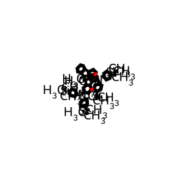 CC1(C2(C)c3ccccc3-c3ccc(N(c4ccc([Si](C)(C)C)cc4)c4ccc([Si](C)(C)C)cc4)cc32)c2ccccc2-c2ccc(N(c3ccc([Si](C)(C)C)cc3)c3ccc([Si](C)(C)C)cc3)cc21